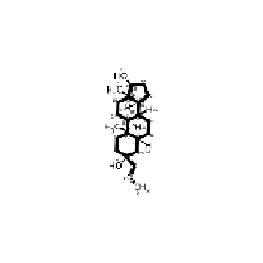 COC[C@@]1(O)CC[C@@]2(C)[C@@H](CC[C@@H]3[C@@H]2CC[C@]2(C)[C@@H](O)CC[C@@H]32)C1